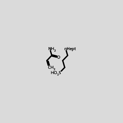 C=CC(N)=O.CCCCCCCCCCS(=O)(=O)O